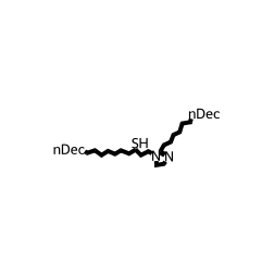 CCCCCCCCCCCCCCCCCC(S)CCN1CCN=C1CCCCCCCCCCCCCCCC